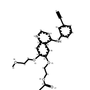 C#Cc1cccc(Nc2ncnc3cc(OCCOC)c(OCCOC(C)=O)cc23)c1